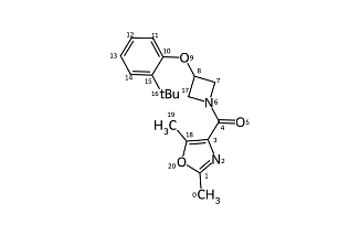 Cc1nc(C(=O)N2CC(Oc3ccccc3C(C)(C)C)C2)c(C)o1